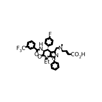 CCN1C(=O)[C@H](NC(=O)c2cccc(C(F)(F)F)c2)[C@H](c2ccc(F)cc2)c2c(CN(C)CC=CC(=O)O)nn(-c3ccccc3)c21